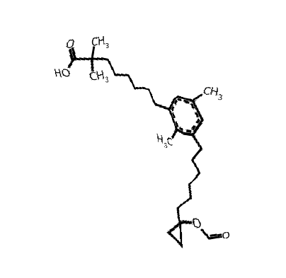 Cc1cc(CCCCCCC2(OC=O)CC2)c(C)c(CCCCCCC(C)(C)C(=O)O)c1